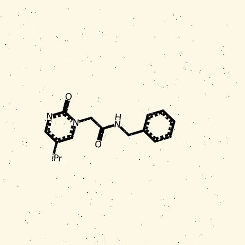 CC(C)c1cnc(=O)n(CC(=O)NCc2ccccc2)c1